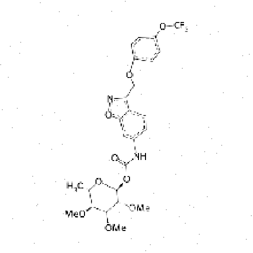 CO[C@H]1[C@@H](OC)[C@H](C)O[C@@H](OC(=O)Nc2ccc3c(COc4ccc(OC(F)(F)F)cc4)noc3c2)[C@@H]1OC